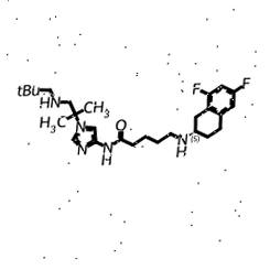 CC(C)(C)CNCC(C)(C)n1cnc(NC(=O)CCCCN[C@H]2CCc3cc(F)cc(F)c3C2)c1